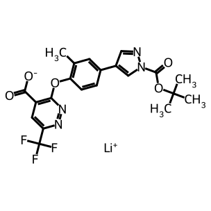 Cc1cc(-c2cnn(C(=O)OC(C)(C)C)c2)ccc1Oc1nnc(C(F)(F)F)cc1C(=O)[O-].[Li+]